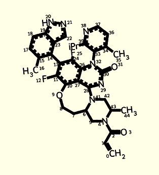 C=CC(=O)N1CC2CCOc3c(F)c(-c4c(C)ccc5[nH]ncc45)c(F)c4c3c(nc(=O)n4-c3c(C)ccnc3C(C)C)N2CC1C